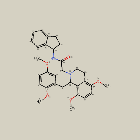 COc1ccc(OC)c(CC2c3c(OC)ccc(OC)c3CCN2CC(=O)NC2CCc3ccccc32)c1